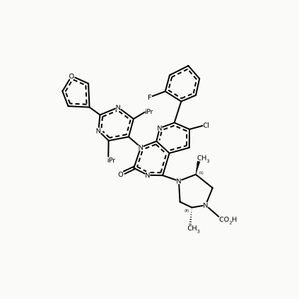 CC(C)c1nc(-c2ccoc2)nc(C(C)C)c1-n1c(=O)nc(N2C[C@@H](C)N(C(=O)O)C[C@@H]2C)c2cc(Cl)c(-c3ccccc3F)nc21